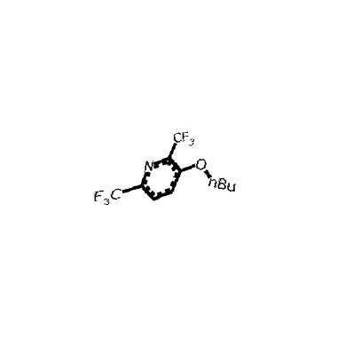 CCCCOc1ccc(C(F)(F)F)nc1C(F)(F)F